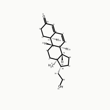 C[C@]12CC[C@H]3[C@@H](C=CC4=CC(=O)CC[C@@H]43)[C@@H]1CC[C@@H]2CCO